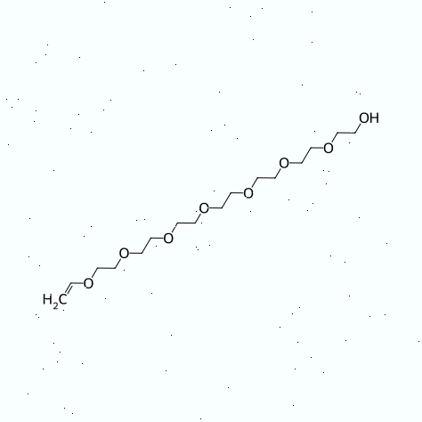 C=COCCOCCOCCOCCOCCOCCOCCO